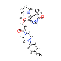 N#Cc1ccc(N2CCN(C(=O)CCOC[C@@H]3CCCN3c3cn[nH]c(=O)c3C(F)(F)F)CC2)cc1